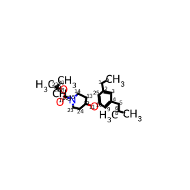 CCc1cc(CC(C)C)cc(OC2CCN(C(=O)OC(C)(C)C)CC2)c1